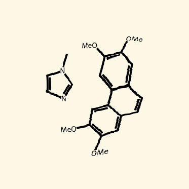 COc1cc2ccc3cc(OC)c(OC)cc3c2cc1OC.Cn1ccnc1